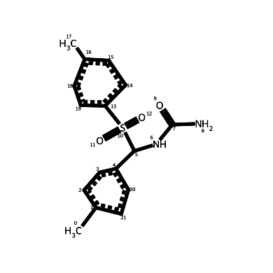 Cc1ccc(C(NC(N)=O)S(=O)(=O)c2ccc(C)cc2)cc1